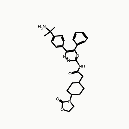 CC(C)(N)c1ccc(-c2nnc(NC(=O)CC3CCC(N4CCOC4=O)CC3)nc2-c2ccccc2)cc1